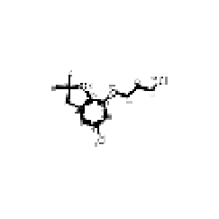 CC1(C)Cc2cc(Cl)cc(OCCCCl)c2O1